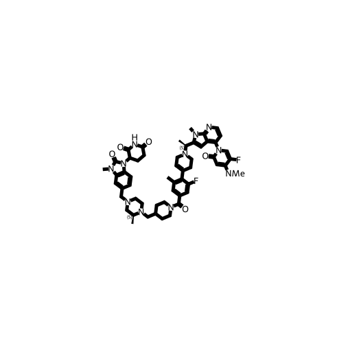 CNc1cc(=O)n(-c2ccnc3c2cc([C@H](C)N2CC=C(c4c(C)cc(C(=O)N5CCC(CN6CCN(Cc7ccc8c(c7)n(C)c(=O)n8C7CCC(=O)NC7=O)C[C@@H]6C)CC5)cc4F)CC2)n3C)cc1F